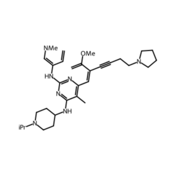 C=C/C(=C\NC)Nc1nc(/C=C(/C#CCCN2CCCC2)C(=C)OC)c(C)c(NC2CCN(C(C)C)CC2)n1